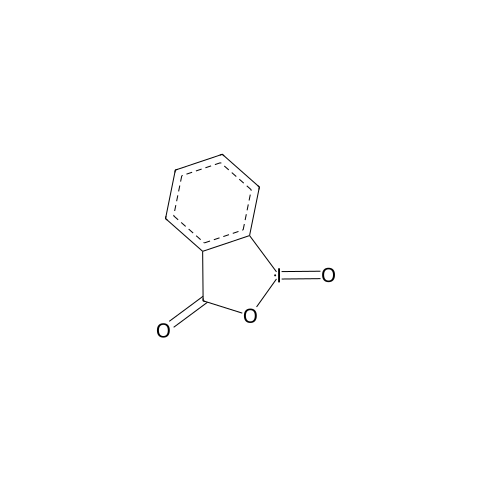 O=C1O[I](=O)c2ccccc21